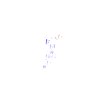 CC1=C(c2ccc3nc(C)cc(Nc4ccc(-c5nc6ccc(Nc7ccnc(C)c7)cc6[nH]5)nc4)c3c2)CC(C)(C)OC1